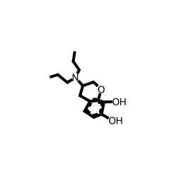 CCCN(CCC)C1COc2c(ccc(O)c2O)C1